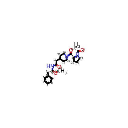 CO[C@H](Cc1ccccc1)NC(=O)CC1CCN(C(=O)[C@@H]2CCCN2C(C)=O)CC1